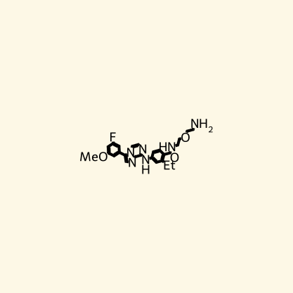 CCc1cc(Nc2nccn3c(-c4cc(F)cc(OC)c4)cnc23)ccc1C(=O)NCCOCCN